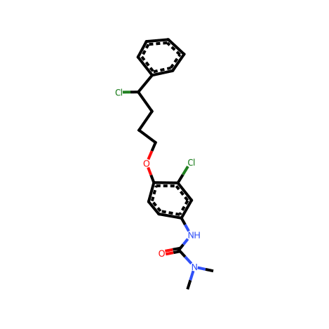 CN(C)C(=O)Nc1ccc(OCCCC(Cl)c2ccccc2)c(Cl)c1